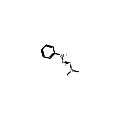 CN(C)/N=N/[AsH]c1ccccc1